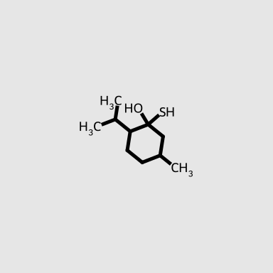 CC1CCC(C(C)C)C(O)(S)C1